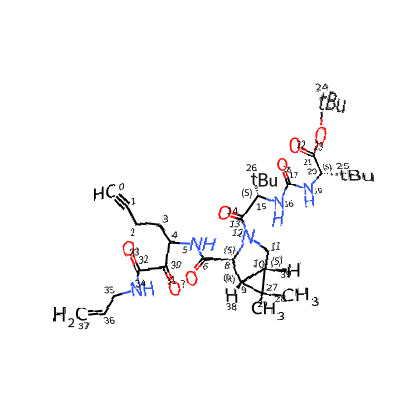 C#CCCC(NC(=O)[C@@H]1[C@@H]2[C@H](CN1C(=O)[C@@H](NC(=O)N[C@H](C(=O)OC(C)(C)C)C(C)(C)C)C(C)(C)C)C2(C)C)C(=O)C(=O)NCC=C